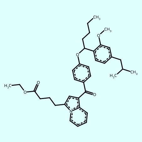 CCCCC(Oc1ccc(C(=O)c2cc(CCCC(=O)OCC)n3ccccc23)cc1)c1ccc(CC(C)C)cc1OC